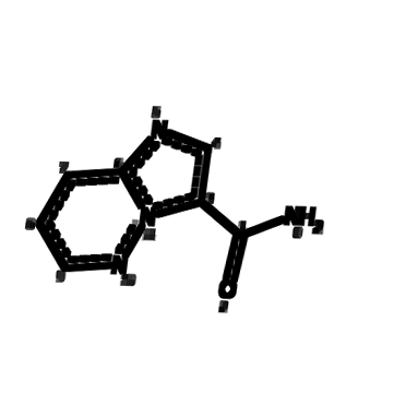 NC(=O)c1cnc2cccnn12